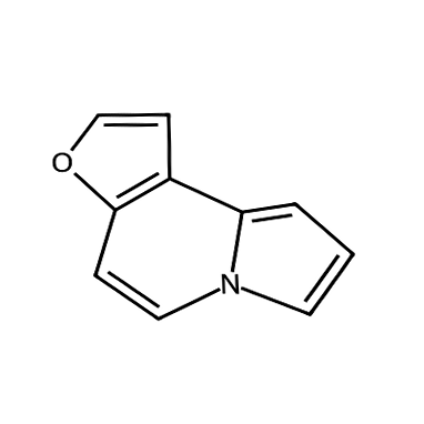 c1cc2c3ccoc3ccn2c1